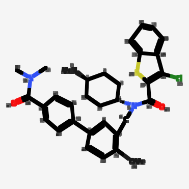 CN[C@H]1CC[C@H](N(Cc2cc(-c3ccc(C(=O)N(C)C)cc3)ccc2OC)C(=O)c2sc3ccccc3c2Cl)CC1